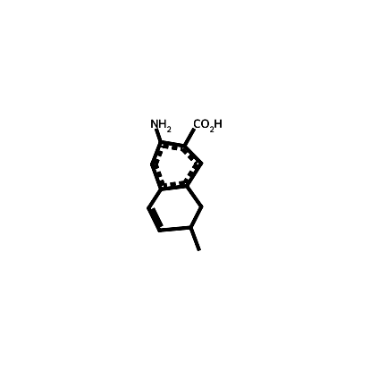 CC1C=Cc2cc(N)c(C(=O)O)cc2C1